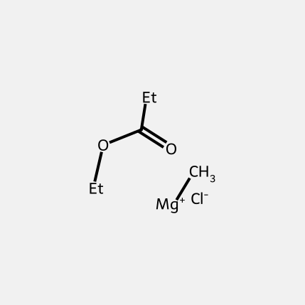 CCOC(=O)CC.[CH3][Mg+].[Cl-]